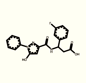 O=C(O)CC(NC(=O)c1cc(O)n(-c2ccccc2)n1)c1cccc(F)c1